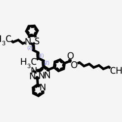 CCCCCCCCOC(=O)c1ccc(-c2nn3c(-c4ccccn4)nnc3\c2=C/C(C)=C/C=C2\Sc3ccccc3N2CCCC)cc1